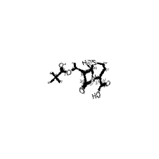 CC(OC(=O)C(C)(C)C)C1C(=O)N2C(C(=O)O)=CCS[C@@H]12